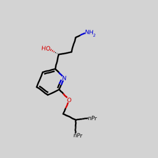 CCCC(CCC)COc1cccc([C@H](O)CCN)n1